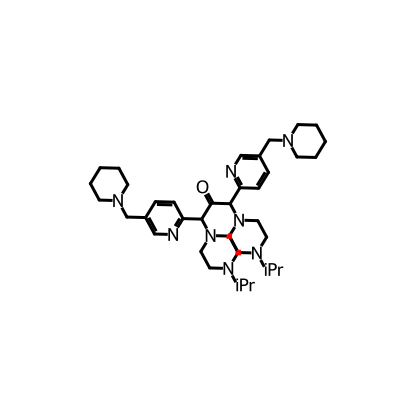 CC(C)N1CCN(C(C(=O)C(c2ccc(CN3CCCCC3)cn2)N2CCN(C(C)C)CC2)c2ccc(CN3CCCCC3)cn2)CC1